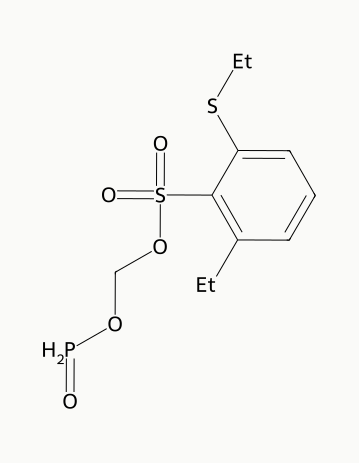 CCSc1cccc(CC)c1S(=O)(=O)OCO[PH2]=O